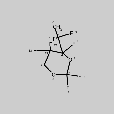 CC(F)(F)C1(F)OC(F)(F)OCC1(F)F